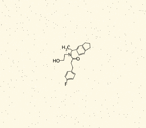 CC(c1ccc2c(c1)CCC2)N(CCO)C(=O)CCc1ccc(F)cc1